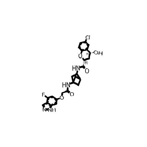 O=C(COc1cc(F)c2cn[nH]c2c1)NC12CC(C1)C(NC(=O)[C@H]1C[C@@H](O)c3cc(Cl)ccc3O1)C2